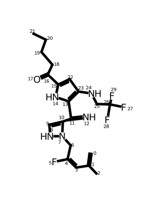 C=C(C)/C=C(/F)Cn1[nH]cc1C(=N)c1[nH]c(C(=O)CCCC)cc1NCC(F)(F)F